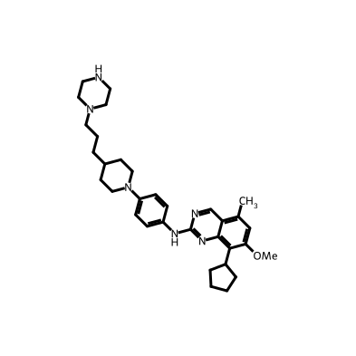 COc1cc(C)c2cnc(Nc3ccc(N4CCC(CCCN5CCNCC5)CC4)cc3)nc2c1C1CCCC1